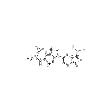 C[C@@H](Nc1ncc2c(-c3ccc4ncc(C(F)F)n4c3)c[nH]c2n1)C1CC1